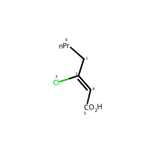 CCCCC(Cl)=CC(=O)O